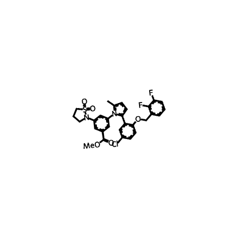 COC(=O)c1cc(N2CCCS2(=O)=O)cc(-n2c(C)ccc2-c2cc(Cl)ccc2OCc2cccc(F)c2F)c1